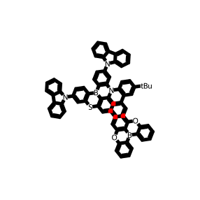 CC(C)(C)c1ccc(N2c3cc(-n4c5ccccc5c5ccccc54)ccc3B3c4ccc(-n5c6ccccc6c6ccccc65)cc4Sc4cc(-c5cc6c7c(c5)Oc5ccccc5B7c5ccccc5O6)cc2c43)c(-c2ccccc2)c1